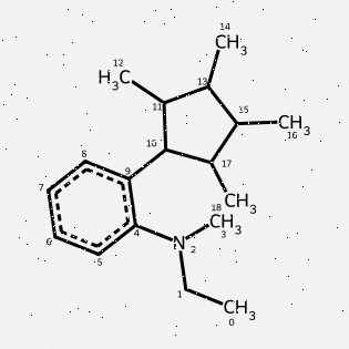 CCN(C)c1ccccc1C1C(C)C(C)C(C)C1C